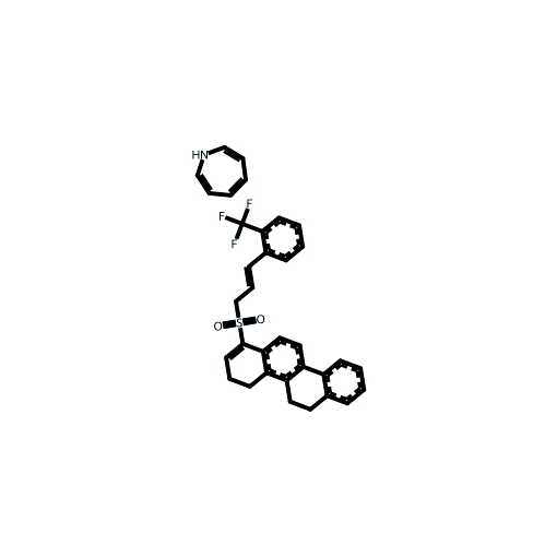 C1=CC=CNC=C1.O=S(=O)(CC=Cc1ccccc1C(F)(F)F)C1=CCCc2c1ccc1c2CCc2ccccc2-1